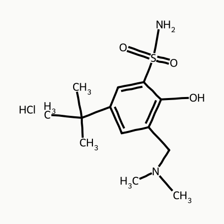 CN(C)Cc1cc(C(C)(C)C)cc(S(N)(=O)=O)c1O.Cl